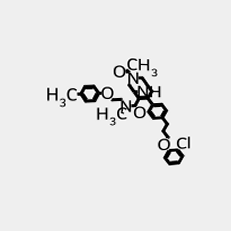 CC(=O)N1CC2CC(c3ccc(CCCOc4ccccc4Cl)cc3)=C(C(=O)N(C)CCOc3ccc(C)cc3)C(C1)N2